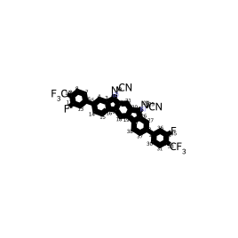 N#C/N=c1/c2cc(-c3ccc(C(F)(F)F)c(F)c3)ccc2c2cc3c(cc12)/c(=N/C#N)c1cc(-c2ccc(C(F)(F)F)c(F)c2)ccc13